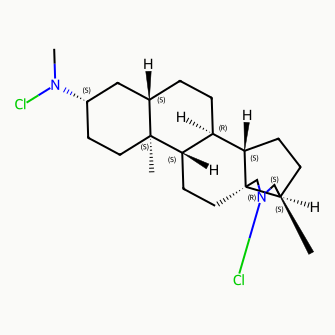 C[C@H]1[C@H]2CC[C@H]3[C@@H]4CC[C@H]5C[C@@H](N(C)Cl)CC[C@]5(C)[C@H]4CC[C@]23CN1Cl